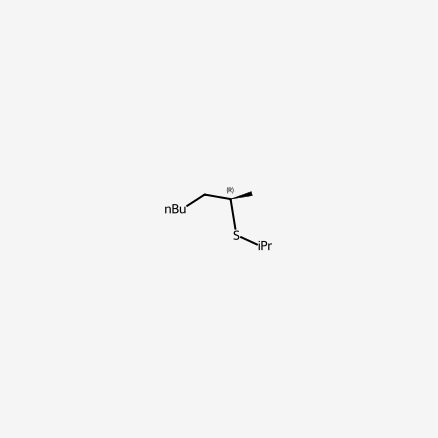 CCCCC[C@@H](C)SC(C)C